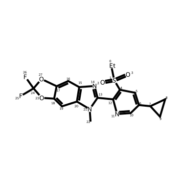 CCS(=O)(=O)c1cc(C2CC2)cnc1-c1nc2cc3c(cc2n1C)OC(F)(F)O3